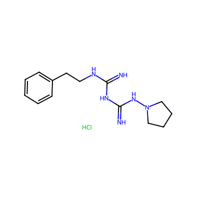 Cl.N=C(NCCc1ccccc1)NC(=N)NN1CCCC1